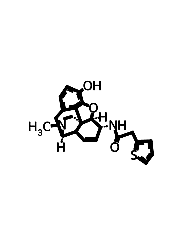 CN1CC[C@]23c4c5ccc(O)c4O[C@H]2[C@H](NC(=O)Cc2cccs2)C=CC3[C@H]1C5